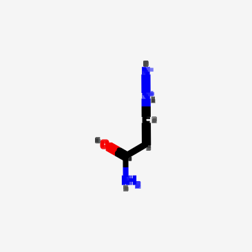 [N-]=[N+]=C=CC(N)=O